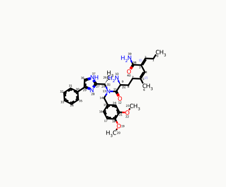 CC/C=C(\C=C(\C)CC[C@H](N)C(=O)N(Cc1ccc(OC)c(OC)c1)[C@@H](C)c1nc(-c2ccccc2)c[nH]1)C(N)=O